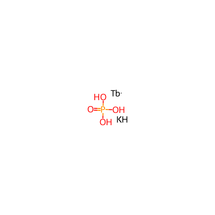 O=P(O)(O)O.[KH].[Tb]